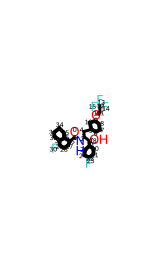 O=C(NC(Cc1cccc(OCC(F)(F)F)c1)C(O)c1ccc(F)cc1)c1ccc(F)c2ccccc12